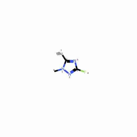 Cn1nc(F)nc1C(C)(C)C